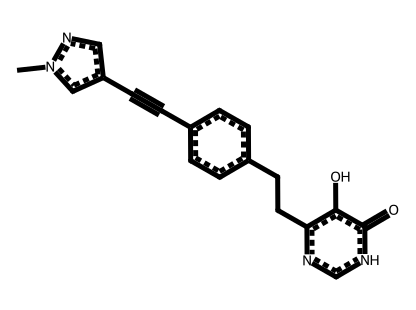 Cn1cc(C#Cc2ccc(CCc3nc[nH]c(=O)c3O)cc2)cn1